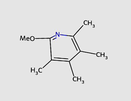 COc1nc(C)c(C)c(C)c1C